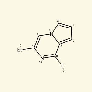 CCc1cn2cccc2c(Cl)n1